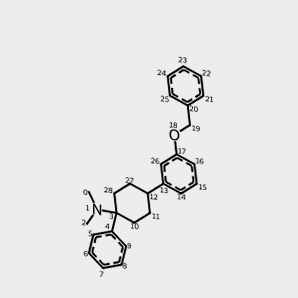 CN(C)C1(c2ccccc2)CCC(c2cccc(OCc3ccccc3)c2)CC1